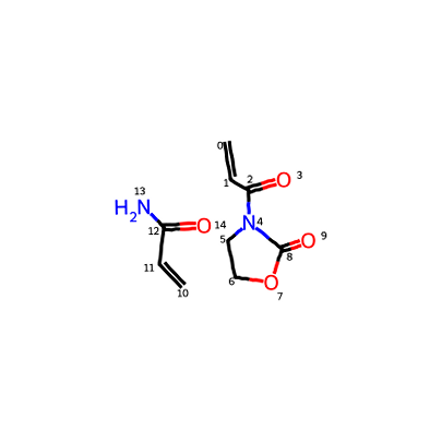 C=CC(=O)N1CCOC1=O.C=CC(N)=O